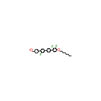 CCCCCCCCOc1ccc(-c2ccc(-c3ccc(C4=CCC(COC)CC4)c(F)c3)cc2)c(F)c1F